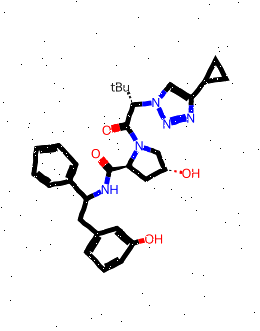 CC(C)(C)[C@@H](C(=O)N1C[C@H](O)C[C@H]1C(=O)NC(Cc1cccc(O)c1)c1ccccc1)n1cc(C2CC2)nn1